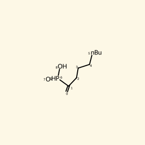 C=C(CCCCCCC)[PH](=O)O